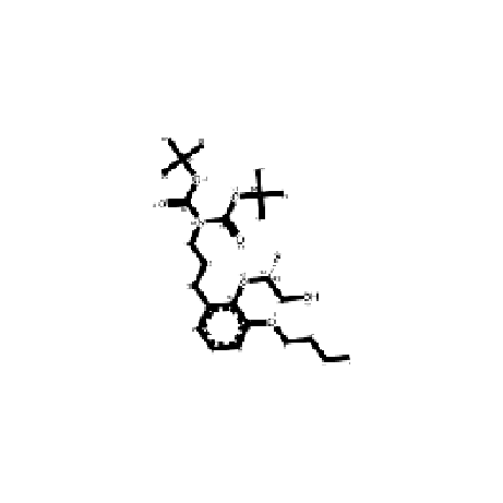 CCCCOc1cccc(CCCN(C(=O)OC(C)(C)C)C(=O)OC(C)(C)C)c1O[C@H](C)CO